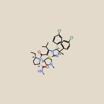 CC[C@@H]1CC[C@@H](C(=O)NC)[N+]1(C(=O)C1=C(C(C)C)N2C(=N[C@@](C)(c3ccc(Cl)cc3)[C@H]2c2ccc(Cl)cc2)S1)[C@@H]1CCN(C)C1